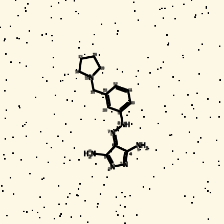 NC1=NN=C(N)C1=NNc1cccc(CN2CCCC2)c1